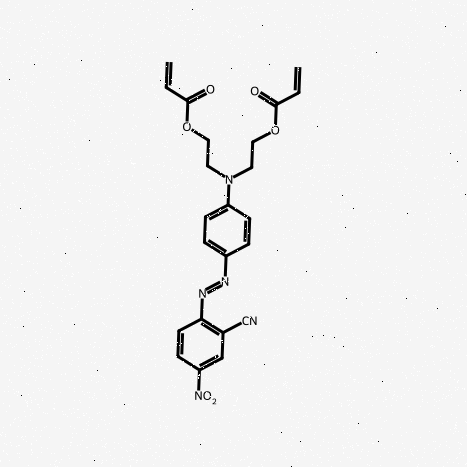 C=CC(=O)OCCN(CCOC(=O)C=C)c1ccc(N=Nc2ccc([N+](=O)[O-])cc2C#N)cc1